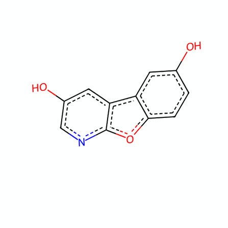 Oc1ccc2oc3ncc(O)cc3c2c1